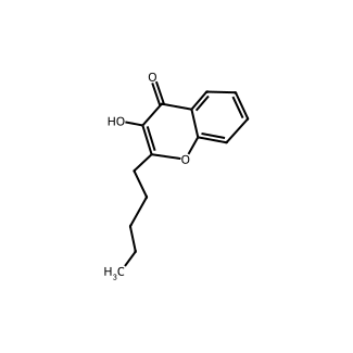 CCCCCc1oc2ccccc2c(=O)c1O